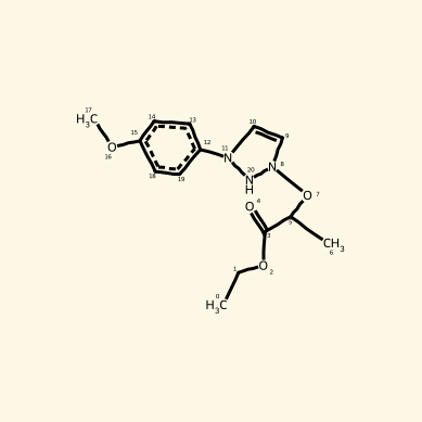 CCOC(=O)C(C)ON1C=CN(c2ccc(OC)cc2)N1